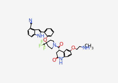 CNCCOc1ccc2c(c1)[C@@H](C(=O)N1CCC(Oc3ccccc3-c3cc4c(C#N)cccc4[nH]3)(C(F)(F)F)CC1)CC(=O)N2